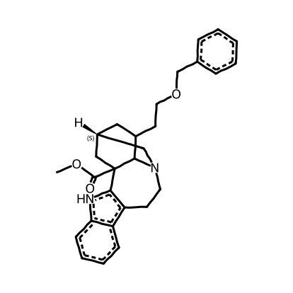 COC(=O)C12C[C@@H]3CC(CCOCc4ccccc4)C1N(CCc1c2[nH]c2ccccc12)C3